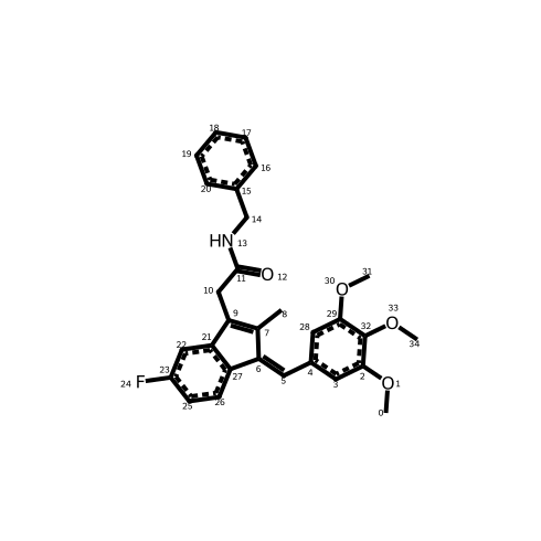 COc1cc(/C=C2\C(C)=C(CC(=O)NCc3ccccc3)c3cc(F)ccc32)cc(OC)c1OC